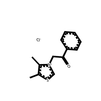 Cc1sc[n+](CC(=O)c2ccccc2)c1C.[Cl-]